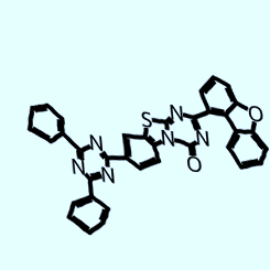 O=c1nc(-c2cccc3oc4ccccc4c23)nc2sc3cc(-c4nc(-c5ccccc5)nc(-c5ccccc5)n4)ccc3n12